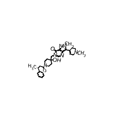 C[C@H](CC(=O)N1CCC(O)(Cn2cnc3c(C4=CCN(C)CC4)n(C)nc3c2=O)CC1)c1ccccc1